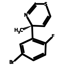 C[C@@]1(c2cc(Br)ccc2F)C=CS[C]=N1